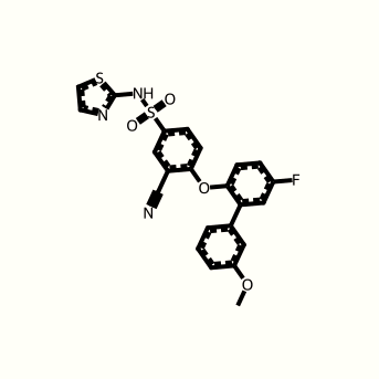 COc1cccc(-c2cc(F)ccc2Oc2ccc(S(=O)(=O)Nc3nccs3)cc2C#N)c1